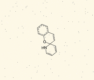 C1=CNC2(C=C1)C=Cc1ccccc1O2